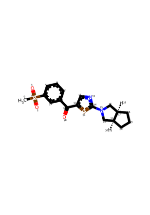 CS(=O)(=O)c1cccc(C(=O)c2cnc(N3C[C@H]4CCC[C@H]4C3)s2)c1